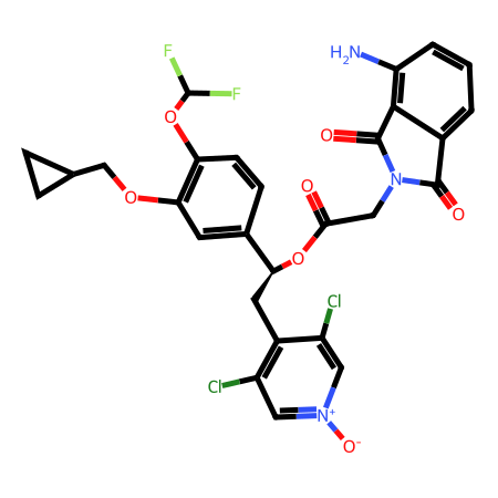 Nc1cccc2c1C(=O)N(CC(=O)O[C@@H](Cc1c(Cl)c[n+]([O-])cc1Cl)c1ccc(OC(F)F)c(OCC3CC3)c1)C2=O